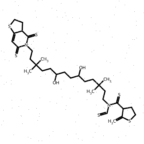 C=C1SCCC1C(=S)N(C=S)CCC(C)(C)CCC(O)CCC(O)CCC(C)(C)CCN1C(=S)C=C2SCCC2C1=S